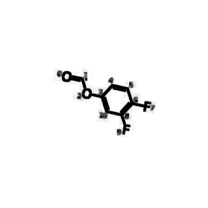 O=[C]Oc1ccc(F)c(F)c1